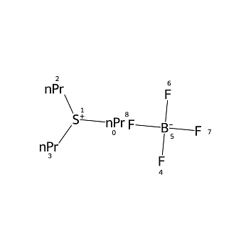 CCC[S+](CCC)CCC.F[B-](F)(F)F